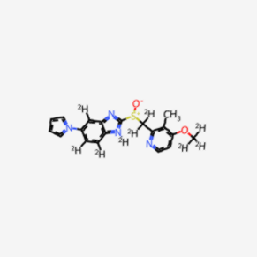 [2H]c1c(-n2cccc2)c([2H])c2nc([S+]([O-])C([2H])([2H])c3nccc(OC([2H])([2H])[2H])c3C)n([2H])c2c1[2H]